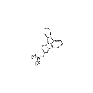 CCN(CC)Cc1ccc2c(c1)c1cccc3c4ccccc4n2c31